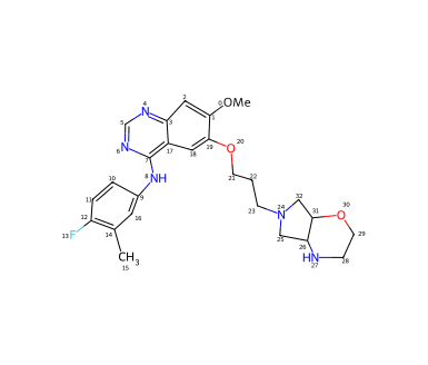 COc1cc2ncnc(Nc3ccc(F)c(C)c3)c2cc1OCCCN1CC2NCCOC2C1